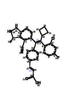 N#Cc1c(/C(=C(/c2ccc(F)cc2Cl)C2CCC2)c2ccc(/C=C/C(=O)O)cc2)ccc2c1C(F)NN2